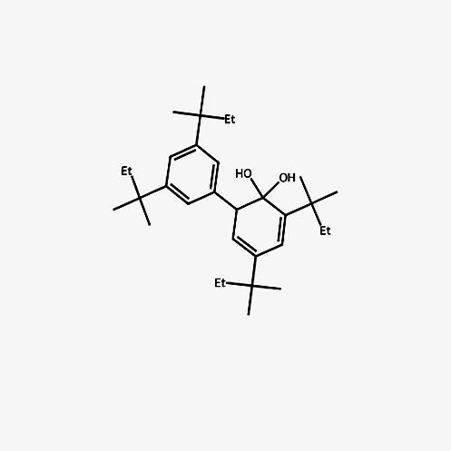 CCC(C)(C)C1=CC(c2cc(C(C)(C)CC)cc(C(C)(C)CC)c2)C(O)(O)C(C(C)(C)CC)=C1